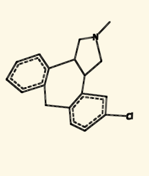 CN1CC2c3ccccc3Cc3ccc(Cl)cc3C2C1